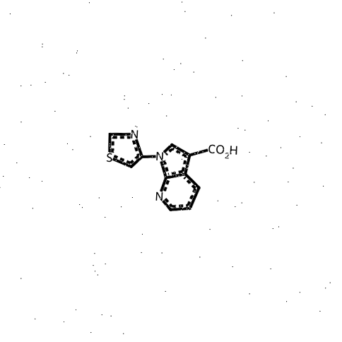 O=C(O)c1cn(-c2cscn2)c2ncccc12